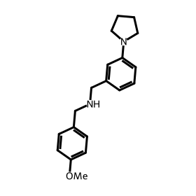 COc1ccc(CNCc2cccc(N3CCCC3)c2)cc1